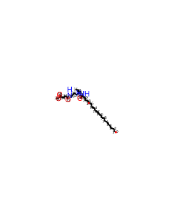 CCC=CCC=CCC=CCC=CCC=CCC=CCCC(=O)NN(CC)CCCNC(=O)C=CC(=O)OC